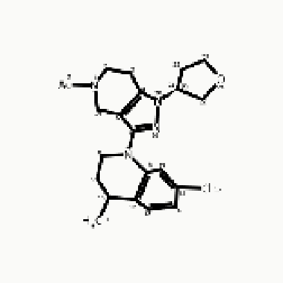 CC(=O)N1CCc2c(c(N3CCC(C)c4ccc(Cl)cc43)nn2[C@H]2CCOC2)C1